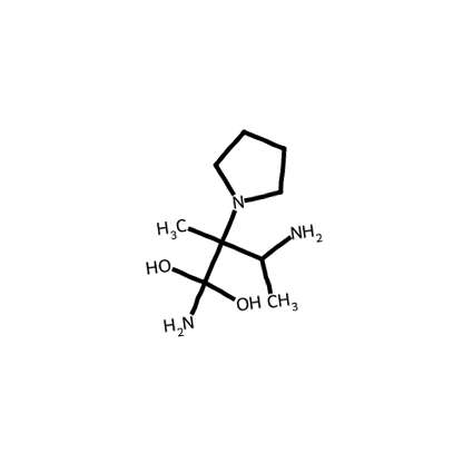 CC(N)C(C)(N1CCCC1)C(N)(O)O